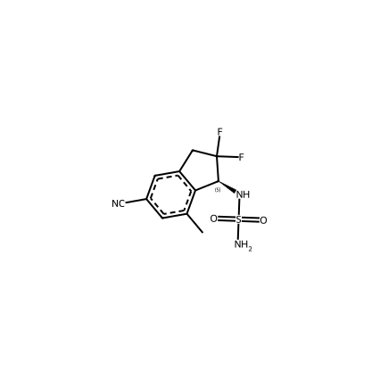 Cc1cc(C#N)cc2c1[C@H](NS(N)(=O)=O)C(F)(F)C2